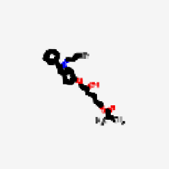 C=C(C)C(=O)OCCCCC(O)COc1ccc2cc(-c3ccccc3)n(CCCC(C)C)c2c1